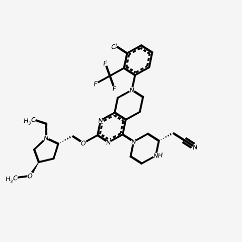 CCN1C[C@H](OC)C[C@H]1COc1nc2c(c(N3CCN[C@@H](CC#N)C3)n1)CCN(c1cccc(Cl)c1C(F)(F)F)C2